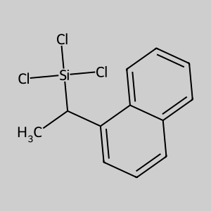 CC(c1cccc2ccccc12)[Si](Cl)(Cl)Cl